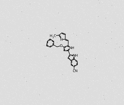 CC1=N/C(=C\c2[nH]c(-c3cc4cc(C#N)ccc4[nH]3)cc2OCc2ccccc2)C=C1